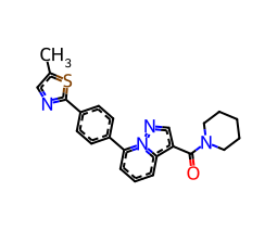 Cc1cnc(-c2ccc(-c3cccc4c(C(=O)N5CCCCC5)cnn34)cc2)s1